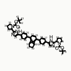 CC(C)(C)OC(=O)N1CCCC1c1ncc(-c2ccc(-c3ccc(-c4ccc(-c5cnc(C6CCCN6C(=O)OC(C)(C)C)[nH]5)cc4)c4c3C3CCC4C3)cc2)[nH]1